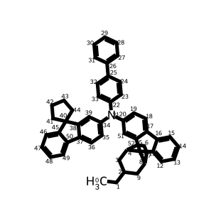 CCC1CC2CCCC(C1)C21c2ccccc2-c2ccc(N(c3ccc(-c4ccccc4)cc3)c3ccc4c(c3)C3(CCCC3)c3ccccc3-4)cc21